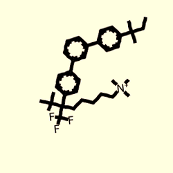 CCC(C)(C)c1ccc(-c2cccc(-c3ccc(C(CCCCC[N+](C)(C)C)(C(C)(C)C)C(F)(F)F)cc3)c2)cc1